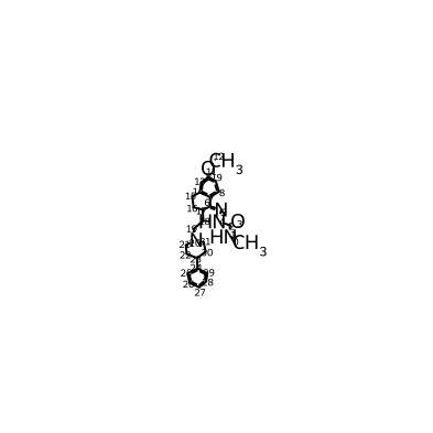 CNC(=O)NN=C1c2ccc(OC)cc2CCC1CCN1CCC(c2ccccc2)CC1